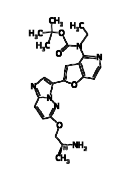 CCN(C(=O)OC(C)(C)C)c1nccc2oc(-c3cnc4ccc(OC[C@H](C)N)nn34)cc12